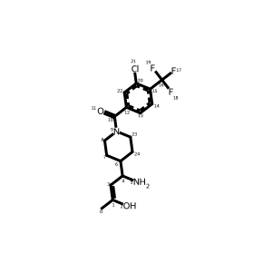 C/C(O)=C/C(N)C1CCN(C(=O)c2ccc(C(F)(F)F)c(Cl)c2)CC1